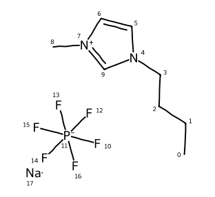 CCCCn1cc[n+](C)c1.F[P-](F)(F)(F)(F)F.[Na]